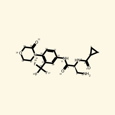 NC[C@H](NC(=O)C1CC1)C(=O)Nc1ccc(N2CCOCC2=O)c(C(F)(F)F)c1